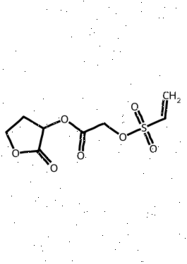 C=CS(=O)(=O)OCC(=O)OC1CCOC1=O